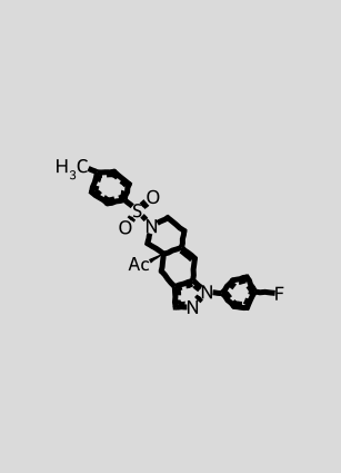 CC(=O)[C@]12Cc3cnn(-c4ccc(F)cc4)c3C=C1CCN(S(=O)(=O)c1ccc(C)cc1)C2